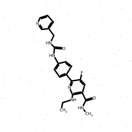 CCNc1nc(-c2ccc(NC(=O)NCc3cccnc3)cc2)c(F)cc1C(=O)NC